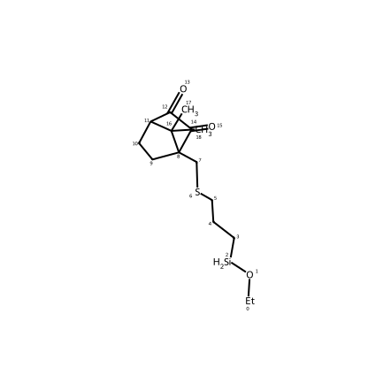 CCO[SiH2]CCCSCC12CCC(C(=O)C1=O)C2(C)C